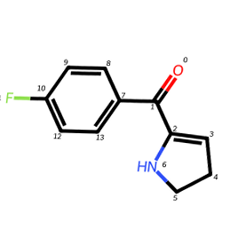 O=C(C1=CCCN1)c1ccc(F)cc1